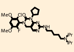 COc1cc(OC)c(Cl)c(N2Cc3cnc(NCCCCCN(C(C)C)C(C)C)nc3N(C3CCCC3)C2=O)c1F